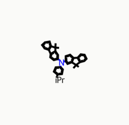 CC(C)c1ccc(N(c2ccc3c(c2)C(C)(C)c2ccccc2-3)c2ccc3c(c2)C(C)(C)c2ccccc2-3)cc1